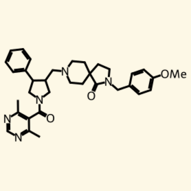 COc1ccc(CN2CCC3(CCN(CC4CN(C(=O)c5c(C)ncnc5C)CC4c4ccccc4)CC3)C2=O)cc1